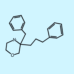 c1ccc(CCCC2(Cc3ccccc3)COCC[N]2)cc1